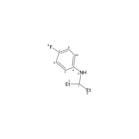 CCC(CC)Nc1ccc(F)cc1